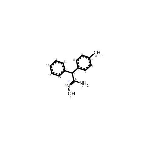 Cc1ccc(C(/C(N)=N/O)c2ccccc2)cc1